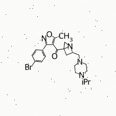 Cc1onc(-c2ccc(Br)cc2)c1C(=O)C12CC(CN3CCN(C(C)C)CC3)N1C2